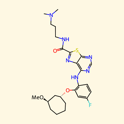 CO[C@@H]1CCCC[C@@H](Oc2cc(F)ccc2Nc2ncnc3sc(C(=O)NCCCN(C)C)nc23)C1